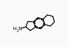 NC1Cc2cc3c(cc2C1)CCCC3